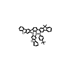 CC(C)(C)c1ccc(N2B3c4cc5c(cc4-n4c6cc7oc8ccccc8c7cc6c6ccc(c3c64)-c3cc4c(cc32)-c2ccccc2C4(C)C)oc2ccccc25)cc1